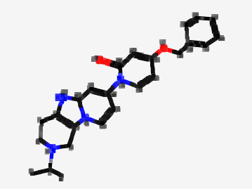 CC(C)N1CCC2=C(C1)N1C=CC(n3ccc(OCc4ccccc4)cc3=O)=CC1N2